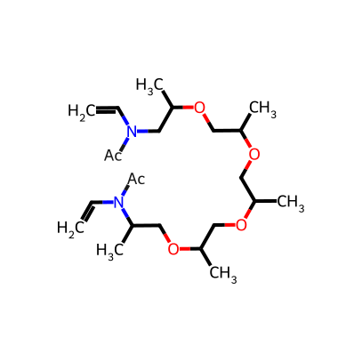 C=CN(CC(C)OCC(C)OCC(C)OCC(C)OCC(C)N(C=C)C(C)=O)C(C)=O